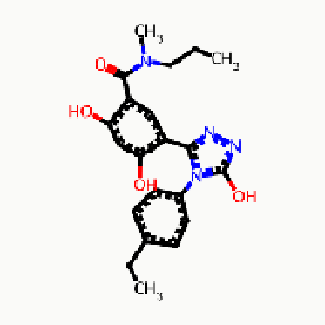 CCCN(C)C(=O)c1cc(-c2nnc(O)n2-c2ccc(CC)cc2)c(O)cc1O